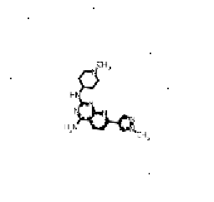 CN1CCC(Nc2nc(N)c3ccc(-c4cnn(C)c4)nc3n2)CC1